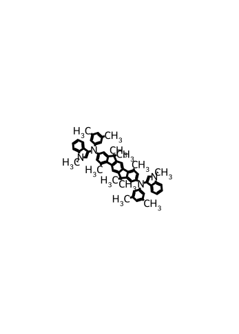 Cc1cc(C)cc(N(c2cc(C)c3c(c2)C(C)(C)c2cc4c(cc2-3)C(C)(C)c2cc(N(c3cc(C)cc(C)c3)c3cn(C)c5ccccc35)cc(C)c2-4)c2cn(C)c3ccccc23)c1